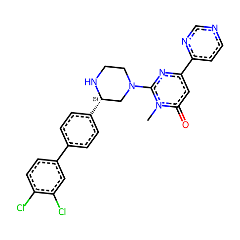 Cn1c(N2CCN[C@@H](c3ccc(-c4ccc(Cl)c(Cl)c4)cc3)C2)nc(-c2ccncn2)cc1=O